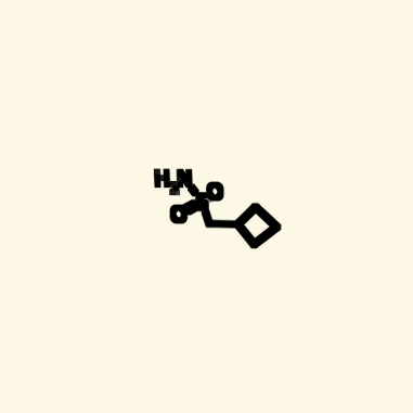 NS(=O)(=O)CC1CCC1